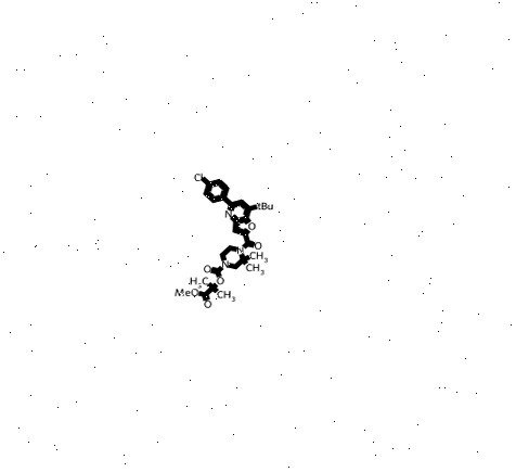 COC(=O)C(C)(C)OC(=O)N1CCN(C(=O)c2cc3nc(-c4ccc(Cl)cc4)cc(C(C)(C)C)c3o2)C(C)(C)C1